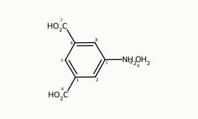 Nc1cc(C(=O)O)cc(C(=O)O)c1.O